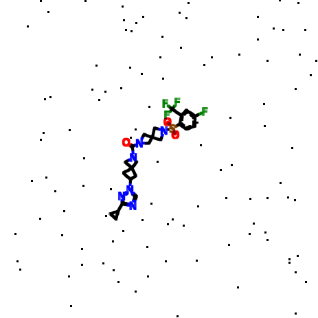 O=C(N1CC2(CC(n3cnc(C4CC4)n3)C2)C1)N1CC2(C1)CN(S(=O)(=O)c1ccc(F)cc1C(F)(F)F)C2